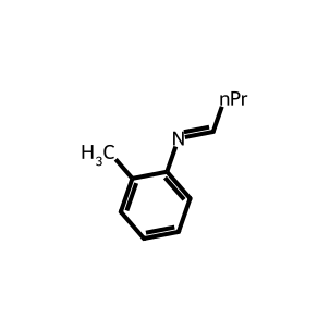 CCCC=Nc1ccccc1C